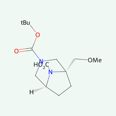 COC[C@@]12CC[C@@H](CN(C(=O)OC(C)(C)C)C1)N2C(=O)O